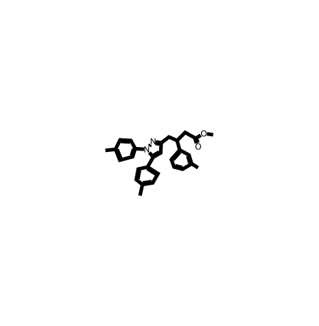 COC(=O)CC(Cc1cc(-c2ccc(C)cc2)n(-c2ccc(C)cc2)n1)c1cccc(C)c1